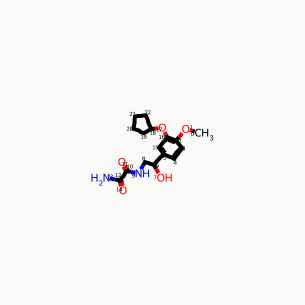 COc1ccc(C(O)CNC(=O)C(N)=O)cc1OC1CCCC1